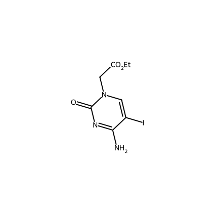 CCOC(=O)Cn1cc(I)c(N)nc1=O